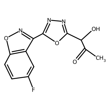 CC(=O)C(O)c1nnc(-c2noc3ccc(F)cc23)o1